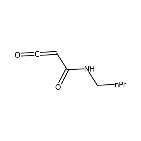 CCCCNC(=O)C=C=O